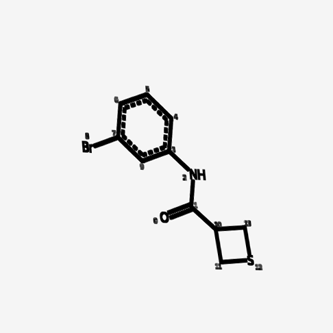 O=C(Nc1cccc(Br)c1)C1CSC1